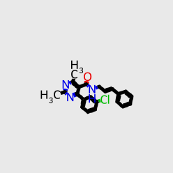 Cc1nc(C)c(C(=O)NC/C=C/c2ccccc2)c(-c2cccc(Cl)c2)n1